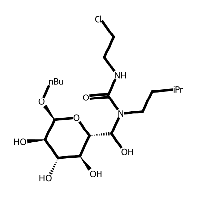 CCCCO[C@H]1O[C@H](C(O)N(CCC(C)C)C(=O)NCCCl)[C@@H](O)[C@H](O)[C@H]1O